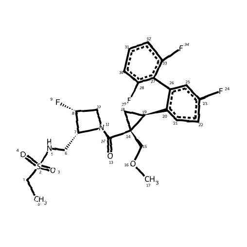 CCS(=O)(=O)NC[C@@H]1[C@H](F)CN1C(=O)[C@]1(COC)C[C@H]1c1ccc(F)cc1-c1c(F)cccc1F